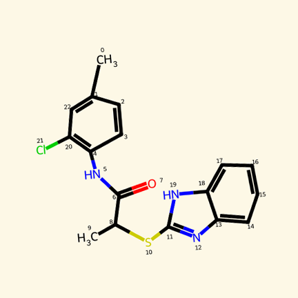 Cc1ccc(NC(=O)C(C)Sc2nc3ccccc3[nH]2)c(Cl)c1